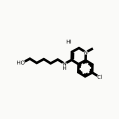 CN1CC=C(NCCCCCO)c2ccc(Cl)cc21.I